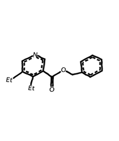 CCc1cncc(C(=O)OCc2ccccc2)c1CC